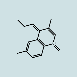 C=[n+]1cc(C)/c(=C/CC)c2cc(C)ccc21